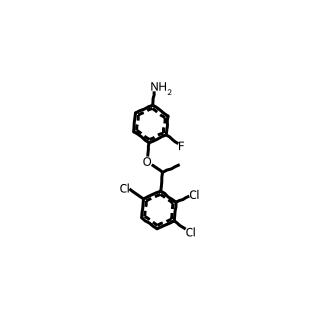 CC(Oc1ccc(N)cc1F)c1c(Cl)ccc(Cl)c1Cl